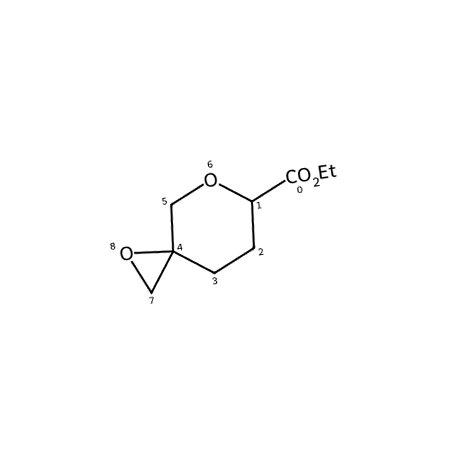 CCOC(=O)C1CCC2(CO1)CO2